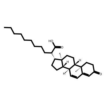 CCCCCCCCCC(C(=O)O)[C@H]1CC[C@H]2[C@@H]3C=CC4=CC(=O)CC[C@]4(C)[C@H]3CC[C@]12C